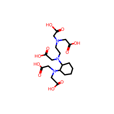 O=C(O)CN(CCN(CC(=O)O)C1CCCCC1N(CC(=O)O)CC(=O)O)CC(=O)O